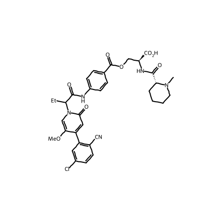 CCC(C(=O)Nc1ccc(C(=O)OC[C@H](NC(=O)[C@H]2CCCCN2C)C(=O)O)cc1)n1cc(OC)c(-c2cc(Cl)ccc2C#N)cc1=O